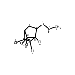 CNOC1CC2C(Cl)=C(Cl)C1(Cl)C2(Cl)Cl